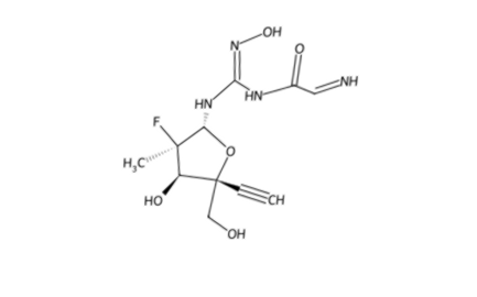 C#C[C@]1(CO)O[C@@H](N/C(=N/O)NC(=O)C=N)[C@](C)(F)[C@@H]1O